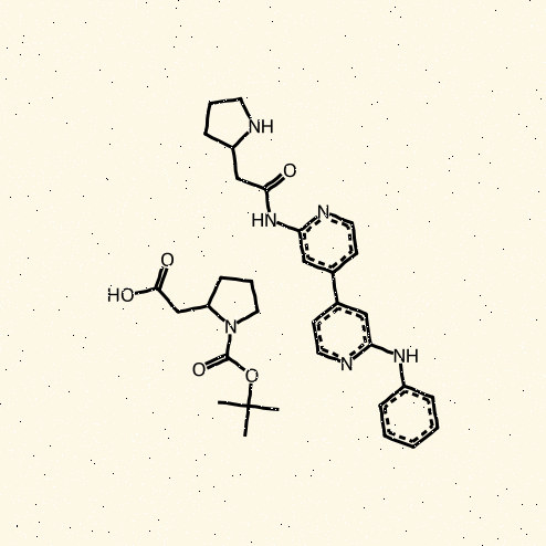 CC(C)(C)OC(=O)N1CCCC1CC(=O)O.O=C(CC1CCCN1)Nc1cc(-c2ccnc(Nc3ccccc3)c2)ccn1